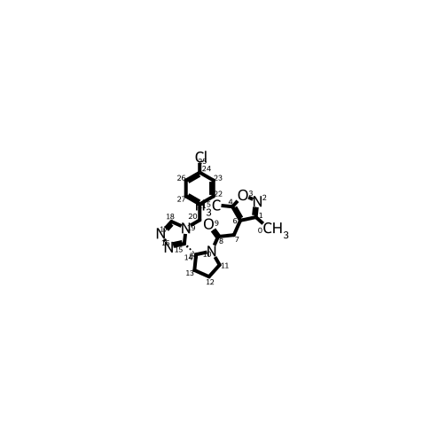 Cc1noc(C)c1CC(=O)N1CCC[C@@H]1c1nncn1Cc1ccc(Cl)cc1